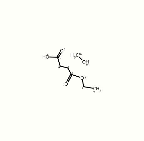 CCOC(=O)CCC(=O)O.CO